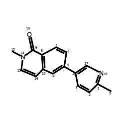 Cc1ccc(-c2ccc3c(=O)n(C)ccc3c2)cn1